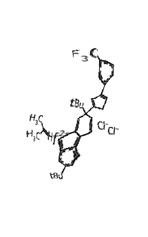 C[C](C)=[Hf+2][C]1=c2cc(C(C)(C)C)ccc2=C2C=CC(C3=CC(c4cccc(C(F)(F)F)c4)=CC3)(C(C)(C)C)C=C21.[Cl-].[Cl-]